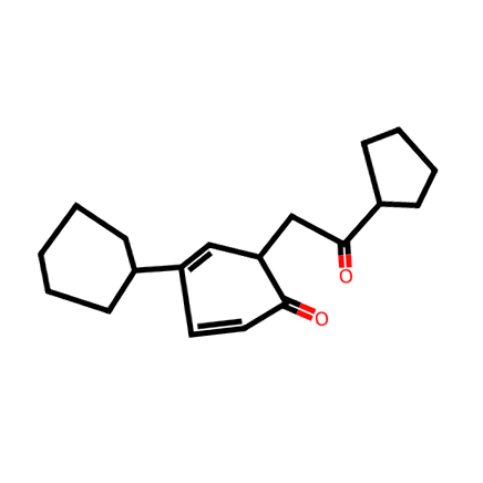 O=C1C=CC(C2CCCCC2)=CC1CC(=O)C1CCCC1